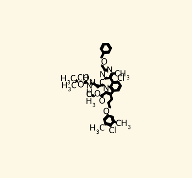 CCOC(=O)c1c(CCCOc2cc(C)c(Cl)c(C)c2)c2ccc(Cl)c(-c3c(C)nc(COCc4ccccc4)nc3C)c2n1CCCNC(=O)OC(C)(C)C